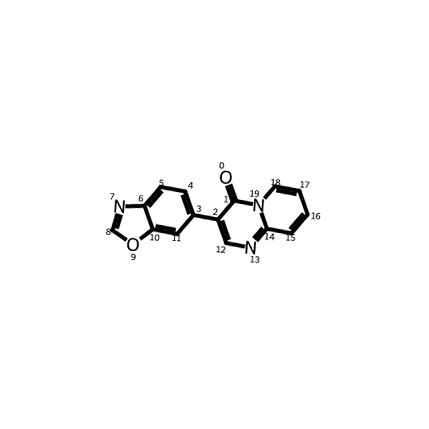 O=c1c(-c2ccc3ncoc3c2)cnc2ccccn12